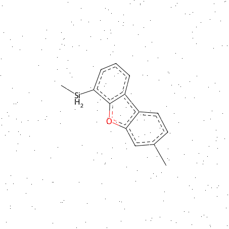 C[SiH2]c1cccc2c1oc1cc(C)ccc12